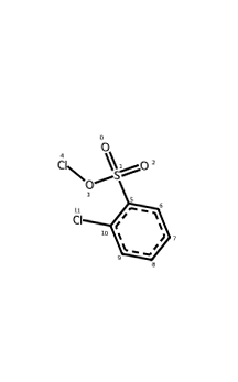 O=S(=O)(OCl)c1ccccc1Cl